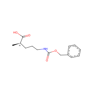 C[C@H](CCCNC(=O)OCc1ccccc1)C(=O)O